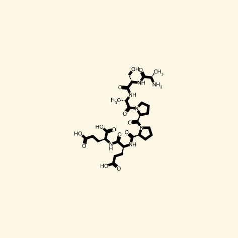 C[C@H](N)C(=O)N[C@@H](CO)C(=O)N[C@@H](C)C(=O)N1CCC[C@H]1C(=O)N1CCC[C@H]1C(=O)N[C@@H](CCC(=O)O)C(=O)N[C@@H](CCC(=O)O)C(=O)O